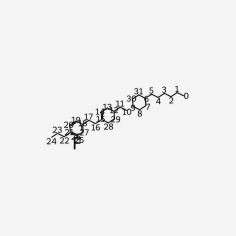 CCCCCC[C@H]1CC[C@H](CCC2CC=C(CCc3ccc(CCC)c(F)c3)CC2)CC1